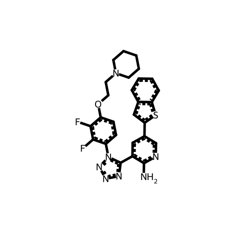 Nc1ncc(-c2cc3ccccc3s2)cc1-c1nnnn1-c1ccc(OCCN2CCCCC2)c(F)c1F